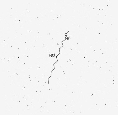 CCCCCCCCCCCCNOC.Cl